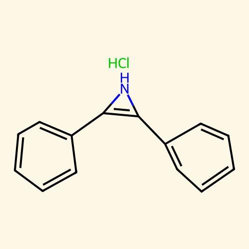 Cl.c1ccc(C2=C(c3ccccc3)N2)cc1